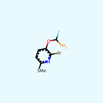 CSc1ccc(OC(F)P)c(Br)n1